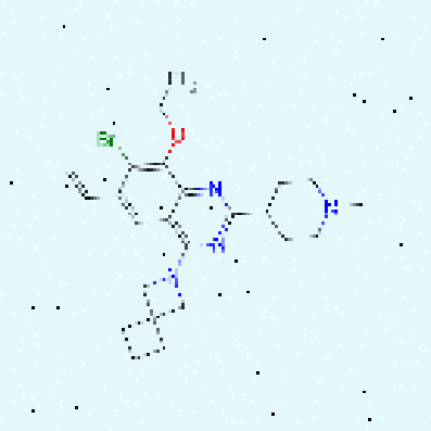 C=Cc1cc2c(N3CC4(CCC4)C3)nc(C3CCN(C)CC3)nc2c(OCC(F)(F)F)c1Br